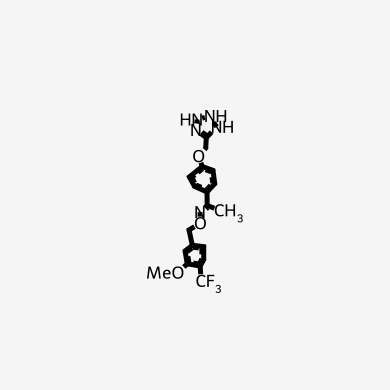 COc1cc(CO/N=C(\C)c2ccc(OCC3=NNNN3)cc2)ccc1C(F)(F)F